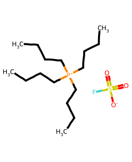 CCCC[P+](CCCC)(CCCC)CCCC.O=S(=O)([O-])F